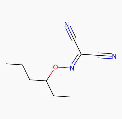 CCCC(CC)ON=C(C#N)C#N